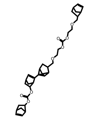 O=C(OCCOCC1CC2C=CC1C2)OCCOCC1CC2CC1C=C2C1=CC2CC(OC(=O)OC3CC4C=CC3C4)C1C2